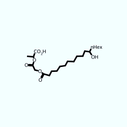 CCCCCCC(O)CCCCCCCCCCC(=O)OCC(=O)OC(C)C(=O)O